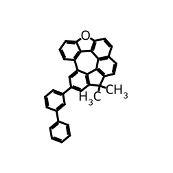 CC1(C)c2cc(-c3cccc(-c4ccccc4)c3)cc3c2-c2c1ccc1ccc4oc5cccc-3c5c4c21